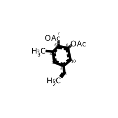 C=Cc1cc(C)c(OC(C)=O)c(OC(C)=O)c1